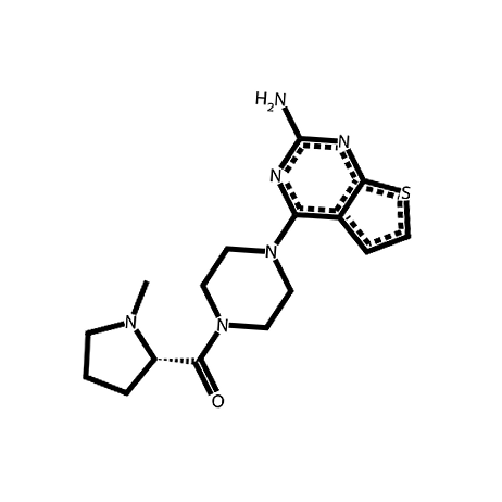 CN1CCC[C@H]1C(=O)N1CCN(c2nc(N)nc3sccc23)CC1